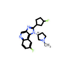 CN1CC[C@@H](n2c(C3CCC(F)C3)nc3cnc4ccc(F)cc4c32)C1